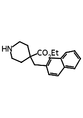 CCOC(=O)C1(Cc2ccc3ccccc3c2)CCNCC1